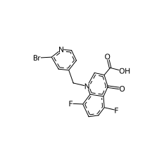 O=C(O)c1cn(Cc2ccnc(Br)c2)c2c(F)ccc(F)c2c1=O